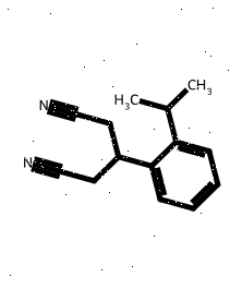 CC(C)c1ccccc1C(CC#N)CC#N